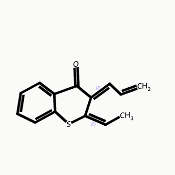 C=C/C=c1/c(=O)c2ccccc2s/c1=C/C